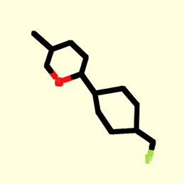 CC1CCC(C2CCC(CF)CC2)OC1